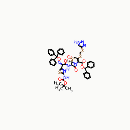 CC(C)(C)OC(=O)Nc1nc(/C(=N/OC(c2ccccc2)(c2ccccc2)c2ccccc2)C(=O)N[C@@H]2C(=O)N3C(C(=O)OC(c4ccccc4)c4ccccc4)=C(SCSc4c[nH]nn4)C[S+]([O-])[C@H]23)cs1